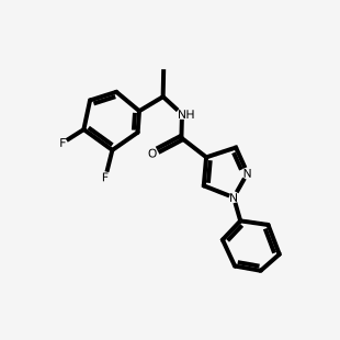 CC(NC(=O)c1cnn(-c2ccccc2)c1)c1ccc(F)c(F)c1